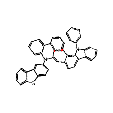 c1ccc(-c2ccccc2N(c2ccc3c(ccc4c5ccccc5n(-c5ccccc5)c34)c2)c2ccc3sc4ccccc4c3c2)cc1